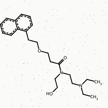 CCN(CC)CCN(CCO)C(=O)CCOCCc1cccc2ccccc12